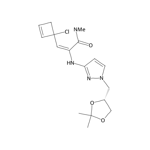 CNC(=O)/C(=C\C1(Cl)C=CC1)Nc1ccn(C[C@@H]2COC(C)(C)O2)n1